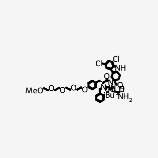 CCC(C)[C@H](NC(=O)[C@@]1(NC(=O)[C@H](Cc2ccc(OCCOCCOCCOCCOC)cc2)N(Cc2ccccc2)C(=O)O)CCc2[nH]c3c(Cl)cc(Cl)cc3c2C1)C(N)=O